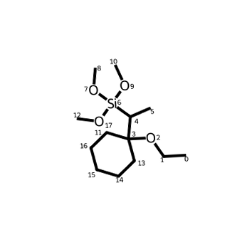 CCOC1(C(C)[Si](OC)(OC)OC)CCCCC1